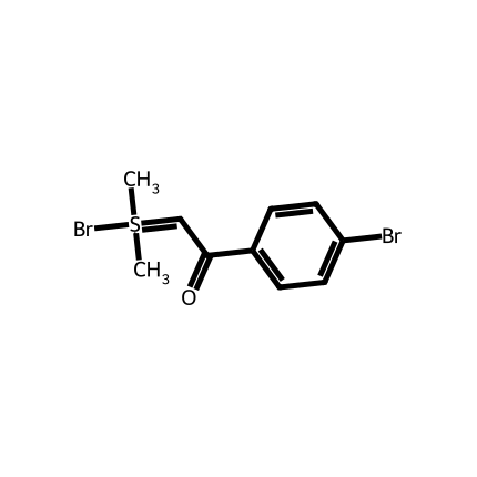 C[S](C)(Br)=CC(=O)c1ccc(Br)cc1